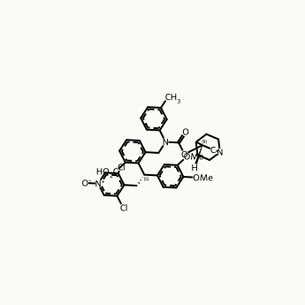 COc1ccc([C@H](Cc2c(Cl)c[n+]([O-])cc2Cl)c2c(CN(C(=O)O[C@H]3CN4CCC3CC4)c3cccc(C)c3)cccc2C(=O)O)cc1OC